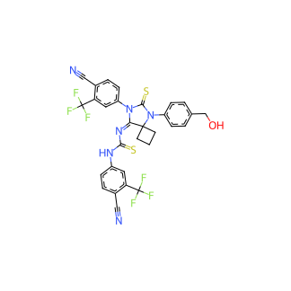 N#Cc1ccc(NC(=S)/N=C2/N(c3ccc(C#N)c(C(F)(F)F)c3)C(=S)N(c3ccc(CO)cc3)C23CCC3)cc1C(F)(F)F